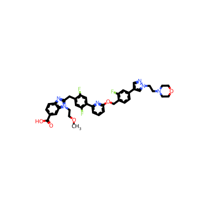 COCCn1c(Cc2cc(F)c(-c3cccc(OCc4ccc(-c5cnn(CCN6CCOCC6)c5)cc4F)n3)cc2F)nc2ccc(C(=O)O)cc21